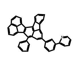 c1ccc(-c2c3cc(-c4cccc(-c5ccccn5)c4)cc4c5ccccc5c(c34)c3c4cccc5cccc(c23)c54)cc1